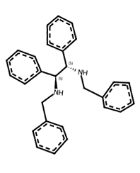 c1ccc(CN[C@@H](c2ccccc2)[C@@H](NCc2ccccc2)c2ccccc2)cc1